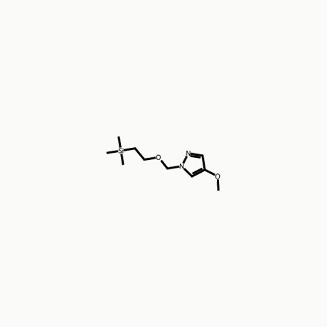 COc1cnn(COCC[Si](C)(C)C)c1